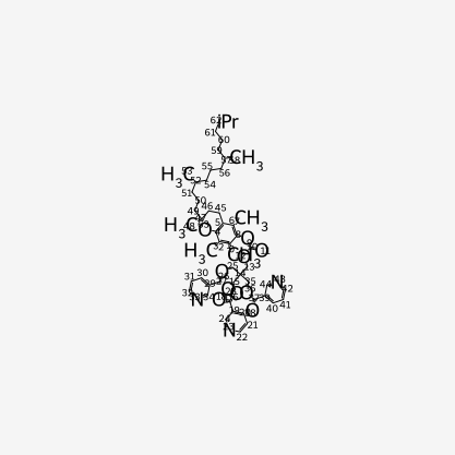 Cc1c(C)c2c(c(C)c1OC(=O)OCC(COC(=O)c1cccnc1)(COC(=O)c1cccnc1)COC(=O)c1cccnc1)CCC(C)(CCCC(C)CCCC(C)CCCC(C)C)O2